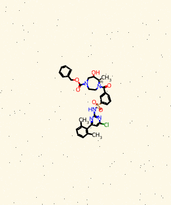 Cc1cccc(C)c1-c1cc(Cl)nc(NS(=O)(=O)c2cccc(C(=O)N3CCN(C(=O)OCc4ccccc4)CC(O)[C@H]3C)c2)n1